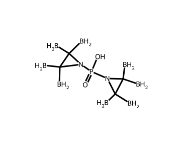 BC1(B)N(P(=O)(O)N2C(B)(B)C2(B)B)C1(B)B